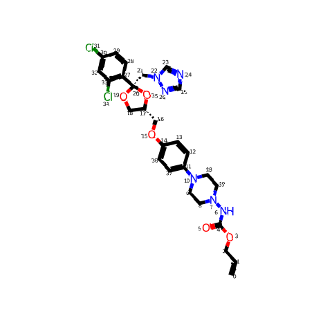 C=CCOC(=O)NN1CCN(c2ccc(OC[C@@H]3CO[C@@](Cn4cncn4)(c4ccc(Cl)cc4Cl)O3)cc2)CC1